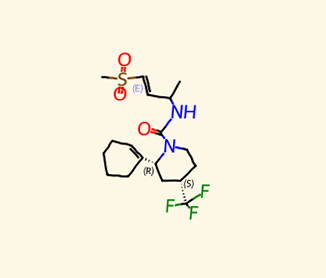 CC(/C=C/S(C)(=O)=O)NC(=O)N1CC[C@H](C(F)(F)F)C[C@@H]1C1=CCCCC1